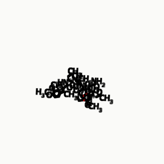 COc1ccc(C[C@H](NC(=O)[C@H](C)NC(=O)[C@H](CC(C)C)NC(=O)c2oc3c(OC)c(OC)ccc3c2C)C(=O)N2CCC[C@H]2C(=O)N[C@@H](CC(C)=O)C(=O)N[C@@H](C)C(N)=O)cc1